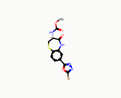 CC(C)(C)OC(=O)N[C@H]1CSc2ccc(-c3nnc(Br)o3)cc2NC1=O